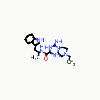 CC(Cc1c[nH]c2ccccc12)NC(=O)C(=N)NC(=N)N1CCN(CC(F)(F)F)CC1